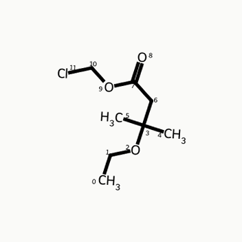 CCOC(C)(C)CC(=O)OCCl